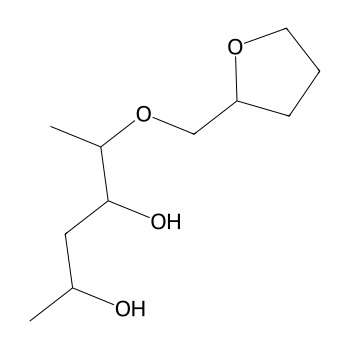 CC(O)CC(O)C(C)OCC1CCCO1